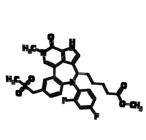 COC(=O)CCCCC1c2c[nH]c3c(=O)n(C)cc(c23)-c2cc(CS(C)(=O)=O)ccc2N1c1ccc(F)cc1F